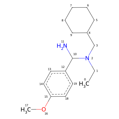 CCN(CC1CCCCC1)C(N)c1ccc(OC)cc1